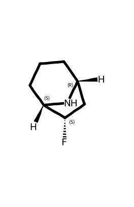 F[C@H]1C[C@H]2CCC[C@@H]1N2